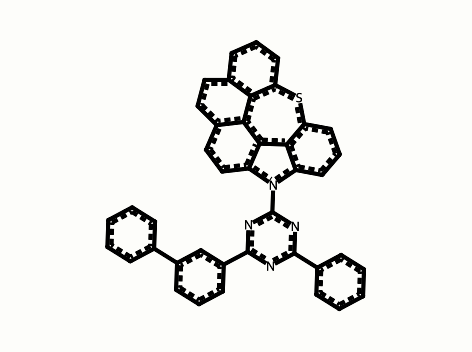 c1ccc(-c2cccc(-c3nc(-c4ccccc4)nc(-n4c5cccc6sc7cccc8ccc9ccc4c(c9c87)c65)n3)c2)cc1